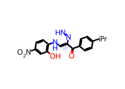 CC(C)c1ccc(C(=O)/C(=C/Nc2ccc([N+](=O)[O-])cc2O)N=N)cc1